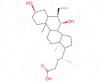 CC[C@@H]1C2C[C@H](O)CCC2(C)C2CC[C@@]3(C)C(CCC3[C@H](C)CCC(=O)O)C2[C@@H]1O